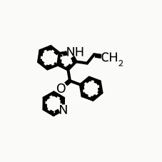 C=CCc1[nH]c2ccccc2c1C(=O)c1ccccc1.c1ccncc1